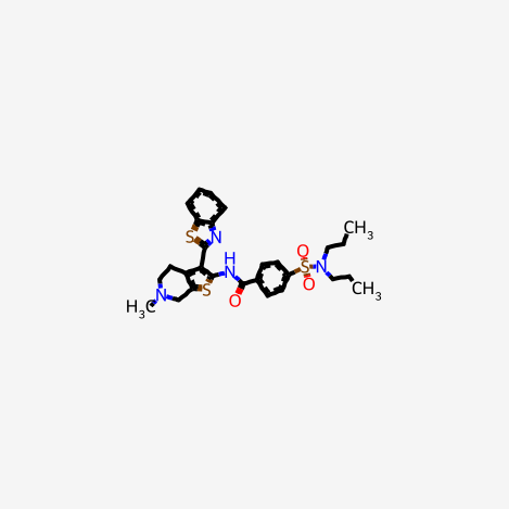 CCCN(CCC)S(=O)(=O)c1ccc(C(=O)Nc2sc3c(c2-c2nc4ccccc4s2)CCN(C)C3)cc1